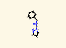 c1ccc(CNCn2cccn2)cc1